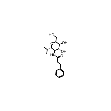 CC(C)[C@@H]1OC(CO)[C@@H](O)[C@H](O)C1NC(=O)CCc1ccccc1